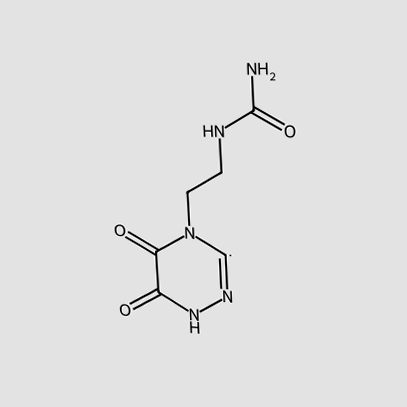 NC(=O)NCCn1[c]n[nH]c(=O)c1=O